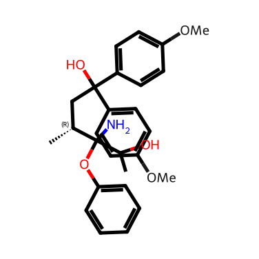 COc1ccc(C(O)(C[C@@H](C)C(N)(Oc2ccccc2)C(C)O)c2ccc(OC)cc2)cc1